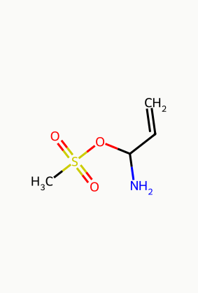 C=CC(N)OS(C)(=O)=O